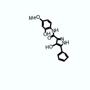 COc1ccc(NC(=O)c2n[nH]c(-c3ccccc3)c2O)c(O)c1